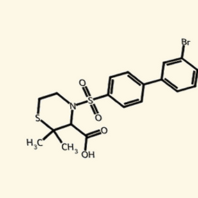 CC1(C)SCCN(S(=O)(=O)c2ccc(-c3cccc(Br)c3)cc2)C1C(=O)O